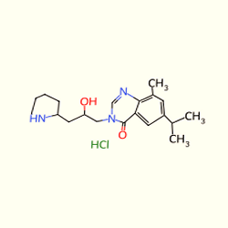 Cc1cc(C(C)C)cc2c(=O)n(CC(O)CC3CCCCN3)cnc12.Cl